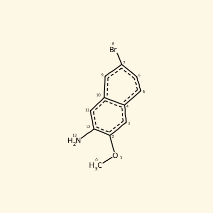 COc1cc2ccc(Br)cc2cc1N